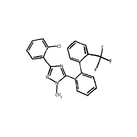 Cn1nc(-c2ccccc2Cl)nc1-c1ccccc1-c1ccccc1C(F)(F)F